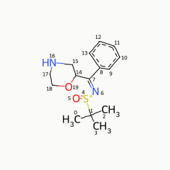 CC(C)(C)[S+]([O-])N=C(c1ccccc1)C1CNCCO1